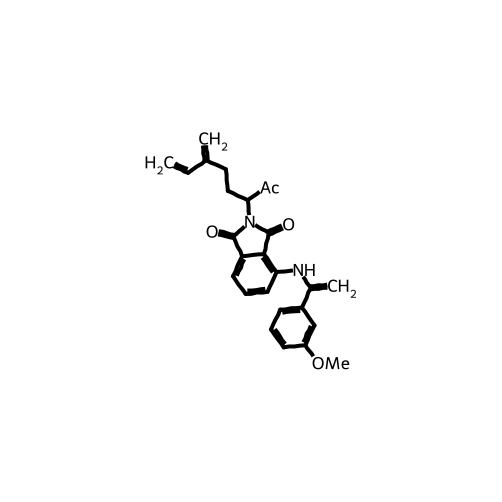 C=CC(=C)CCC(C(C)=O)N1C(=O)c2cccc(NC(=C)c3cccc(OC)c3)c2C1=O